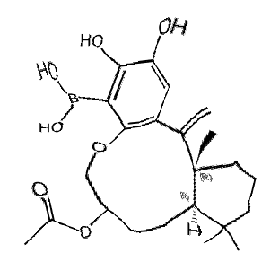 C=C1c2cc(O)c(O)c(B(O)O)c2OCC(OC(C)=O)CC[C@@H]2C(C)(C)CCC[C@@]12C